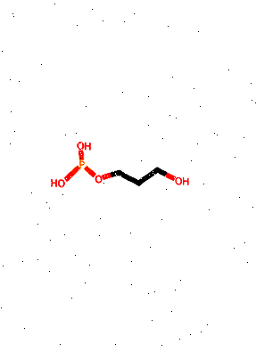 OCCCOP(O)O